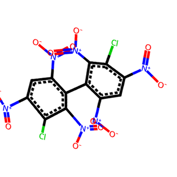 O=[N+]([O-])c1cc([N+](=O)[O-])c(-c2c([N+](=O)[O-])cc([N+](=O)[O-])c(Cl)c2[N+](=O)[O-])c([N+](=O)[O-])c1Cl